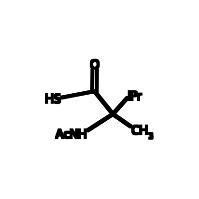 CC(=O)NC(C)(C(=O)S)C(C)C